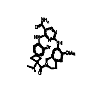 COc1cc2c(cc1Nc1ncc(C(N)=O)c(Nc3ccccc3Br)n1)CN(C(=O)C1(N(C)C)CCC1)CC2